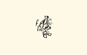 CN(C(=O)N1CCNC[C@H]1Cc1ccc(Cl)c(Cl)c1)c1cc(C(F)(F)F)cc(C(F)(F)F)c1